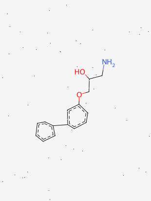 NCC(O)COc1cccc(-c2ccccc2)c1